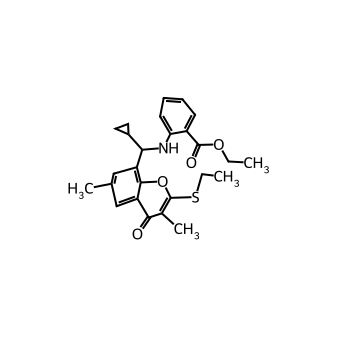 CCOC(=O)c1ccccc1NC(c1cc(C)cc2c(=O)c(C)c(SCC)oc12)C1CC1